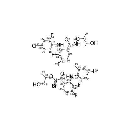 CC(CO)ONC(=O)c1ccc(F)c(F)c1Nc1ccc(Cl)cc1F.Cc1cc(I)ccc1Nc1c(C(=O)N(Br)OC(C)CO)ccc(F)c1F